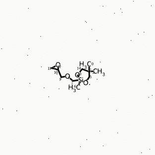 CC1(C)CO[Si](C)(COCC2CO2)OC1